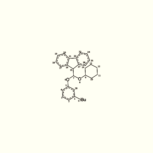 CCC(C)c1cccc(OC(OC2CCCCC2)C2c3ccccc3-c3ccccc32)c1